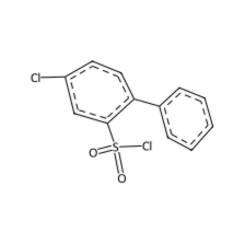 O=S(=O)(Cl)c1cc(Cl)ccc1-c1ccccc1